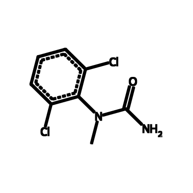 CN(C(N)=O)c1c(Cl)cccc1Cl